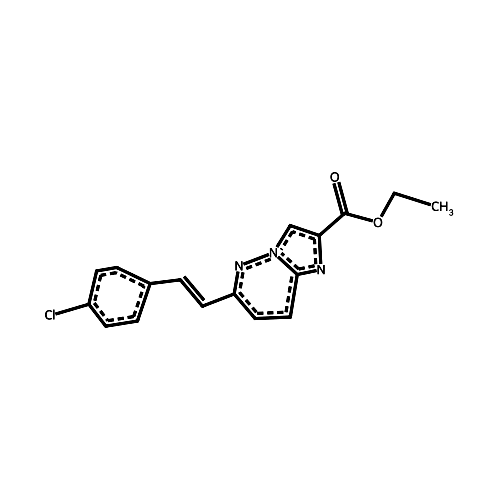 CCOC(=O)c1cn2nc(C=Cc3ccc(Cl)cc3)ccc2n1